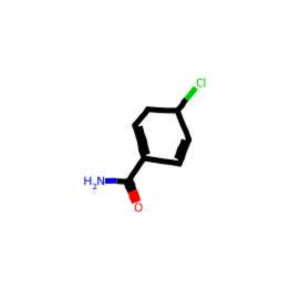 NC(=O)C1=CCC(Cl)C=C1